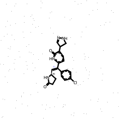 O=C1CC[C@H](/C=C(\c2ccc(Cl)cc2)c2ccc(C3C=NNC3)c(=O)[nH]2)N1